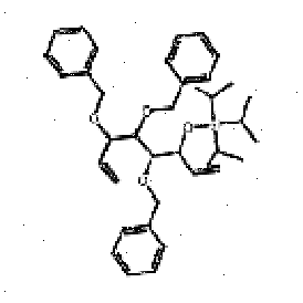 C=CC(OCc1ccccc1)C(OCc1ccccc1)[C@H](OCc1ccccc1)C(C=C)O[Si](C(C)C)(C(C)C)C(C)C